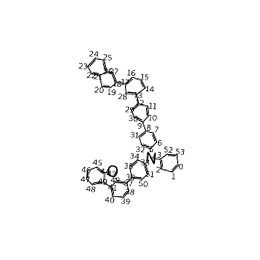 c1ccc(N(c2ccc(-c3ccc(-c4cccc(-c5ccc6ccccc6c5)c4)cc3)cc2)c2ccc(-c3cccc4c3oc3ccccc34)cc2)cc1